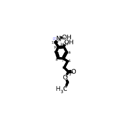 CCOC(=O)CCc1ccc(/C=N\O)c(O)c1